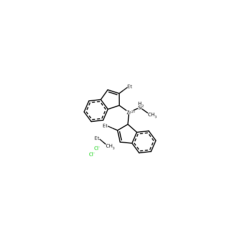 CCC.CCC1=Cc2ccccc2[CH]1[Zr+2]([SiH2]C)[CH]1C(CC)=Cc2ccccc21.[Cl-].[Cl-]